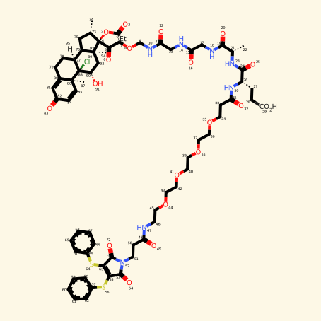 CCC(=O)O[C@]1(C(=O)COCNC(=O)CNC(=O)CNC(=O)[C@H](C)NC(=O)[C@H](CCC(=O)O)NC(=O)CCOCCOCCOCCOCCNC(=O)CCN2C(=O)C(Sc3ccccc3)=C(Sc3ccccc3)C2=O)[C@@H](C)CC2[C@@H]3CCC4=CC(=O)C=C[C@]4(C)[C@@]3(Cl)[C@@H](O)C[C@@]21C